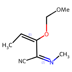 C/C=C(OCOC)\C(C#N)=N/C